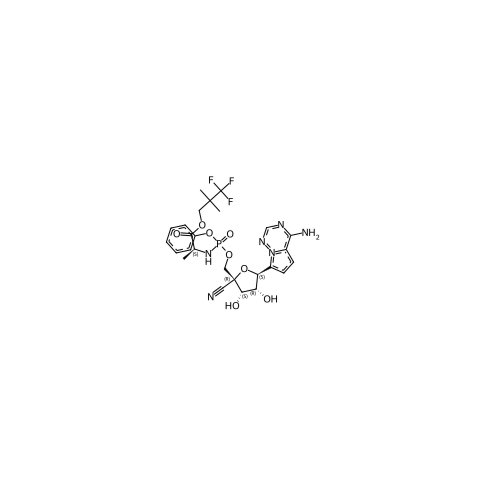 C[C@H](NP(=O)(OC[C@@]1(C#N)O[C@@H](c2ccc3c(N)ncnn23)[C@H](O)[C@@H]1O)Oc1ccccc1)C(=O)OCC(C)(C)C(F)(F)F